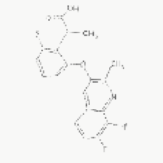 Cc1nc2c(F)c(F)ccc2cc1Oc1cccc(F)c1C(C)C(=O)O